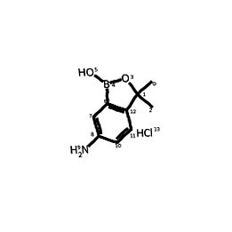 CC1(C)OB(O)c2cc(N)ccc21.Cl